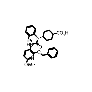 COc1ccc(NC(=O)N(c2ccccc2C(C)C)[C@H]2CC[C@H](C(=O)O)CC2)c(OCc2ccccc2)n1